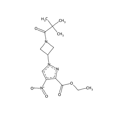 CCOC(=O)c1nn(C2CN(C(=O)C(C)(C)C)C2)cc1[N+](=O)[O-]